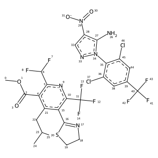 COC(=O)c1c(C(F)F)nc(C(F)(F)F)c(C2=NCCS2)c1CC(C)C.Nc1c([N+](=O)[O-])cnn1-c1c(Cl)cc(C(F)(F)F)cc1Cl